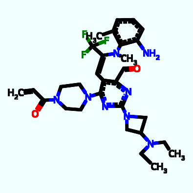 C=CC(=O)N1CCN(c2nc(N3CC(N(CC)CC)C3)nc(C=O)c2/C=C(\N(C)c2c(C)cccc2N)C(F)(F)F)CC1